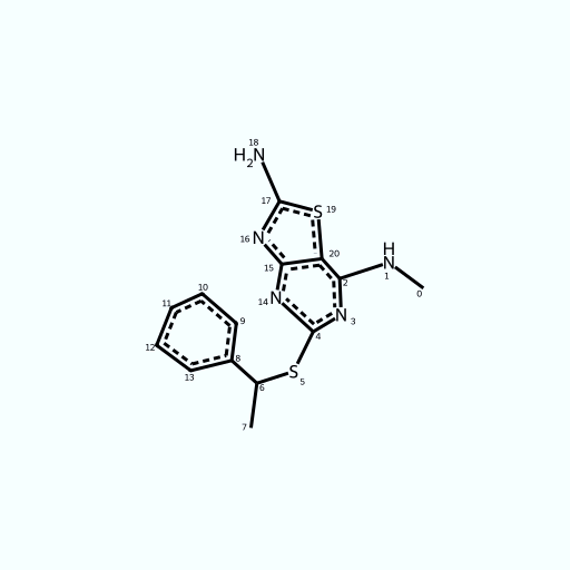 CNc1nc(SC(C)c2ccccc2)nc2nc(N)sc12